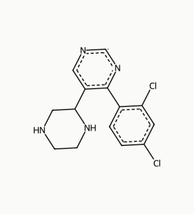 Clc1ccc(-c2n[c]ncc2C2CNCCN2)c(Cl)c1